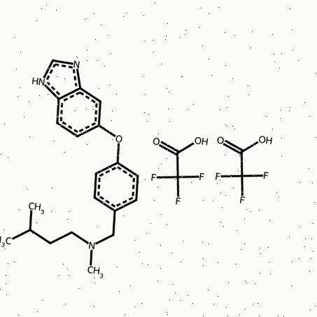 CC(C)CCN(C)Cc1ccc(Oc2ccc3[nH]cnc3c2)cc1.O=C(O)C(F)(F)F.O=C(O)C(F)(F)F